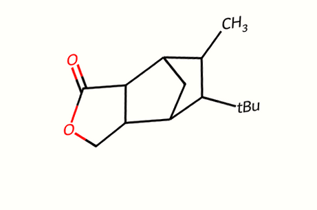 CC1C2CC(C3COC(=O)C23)C1C(C)(C)C